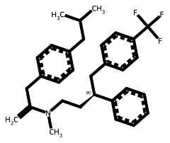 C=C(Cc1ccc(CC(C)C)cc1)N(C)CC[C@@H](Cc1ccc(C(F)(F)F)cc1)c1ccccc1